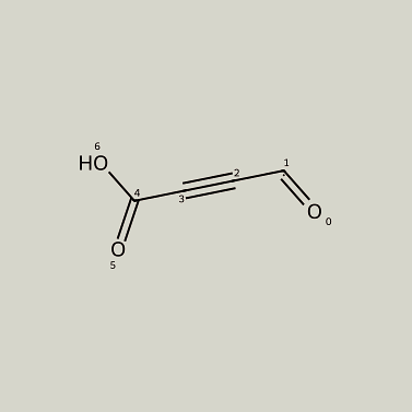 O=[C]C#CC(=O)O